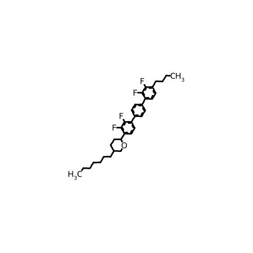 CCCCCCCC1CCC(c2ccc(-c3ccc(-c4ccc(CCCC)c(F)c4F)cc3)c(F)c2F)OC1